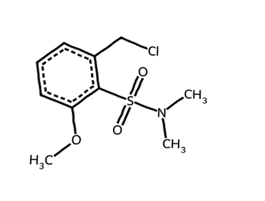 COc1cccc(CCl)c1S(=O)(=O)N(C)C